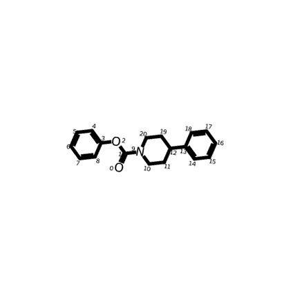 O=C(Oc1ccccc1)N1CCC(c2ccccc2)CC1